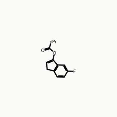 CCCC(=O)OC1=CCc2ccc(F)cc21